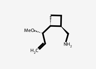 C=C[C@H](OC)[C@@H]1CC[C@H]1CN